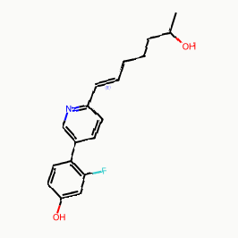 CC(O)CCC/C=C/c1ccc(-c2ccc(O)cc2F)cn1